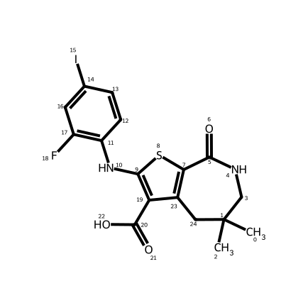 CC1(C)CNC(=O)c2sc(Nc3ccc(I)cc3F)c(C(=O)O)c2C1